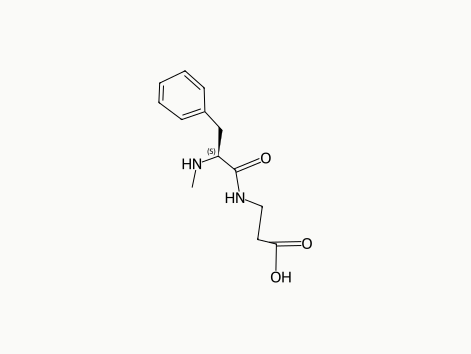 CN[C@@H](Cc1ccccc1)C(=O)NCCC(=O)O